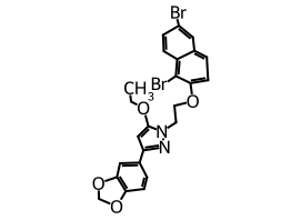 CCOc1cc(-c2ccc3c(c2)OCO3)nn1CCOc1ccc2cc(Br)ccc2c1Br